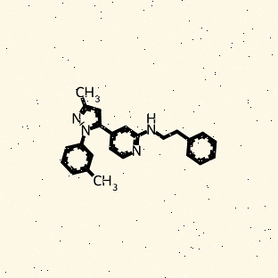 Cc1cccc(-n2nc(C)cc2-c2ccnc(NCCc3ccccc3)c2)c1